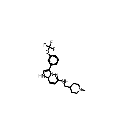 CN1CCC(CNC2=NN3C(c4cccc(OC(F)(F)F)c4)=CNC3C=C2)CC1